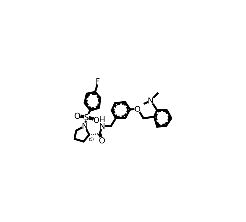 CN(C)c1ccccc1COc1cccc(CNC(=O)[C@@H]2CCCN2S(=O)(=O)c2ccc(F)cc2)c1